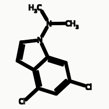 CN(C)n1ccc2c(Cl)cc(Cl)cc21